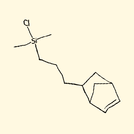 C[Si](C)(Cl)CCCC1CC2C=CC1C2